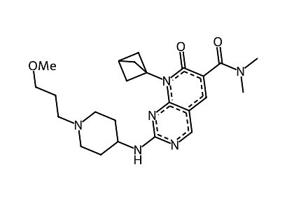 COCCCN1CCC(Nc2ncc3cc(C(=O)N(C)C)c(=O)n(C45CC(C4)C5)c3n2)CC1